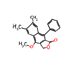 COc1c2c(c(-c3ccccc3)c3cc(C)c(C)cc13)C(=O)OC2